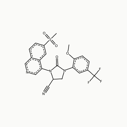 COc1ccc(C(F)(F)F)cc1N1CC(C#N)N(c2cncc3ccc(S(C)(=O)=O)cc23)C1=O